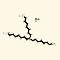 CCCCCCCCP(CCCCCCCC)CCCCCCCC.[NaH]